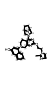 Cc1nccn1CCOc1nc2c(c(N3CC4CCC(C3)N4)n1)CCN(c1cc(O)cc3ccccc13)C2